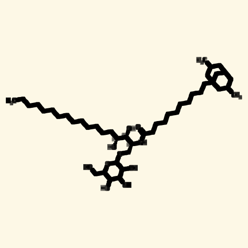 CCCCCCCCCCCCCC[C@@H](O)[C@@H](O)[C@H](COC1OC(CO)C(O)C(O)C1O)NC(=O)CCCCCCCCCCC12CC(C)CC(CC(C)C1)C2